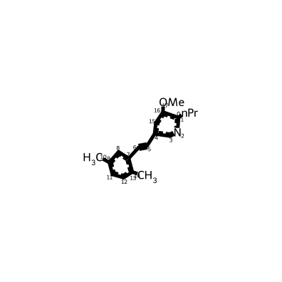 CCCc1ncc(C#Cc2cc(C)ccc2C)cc1OC